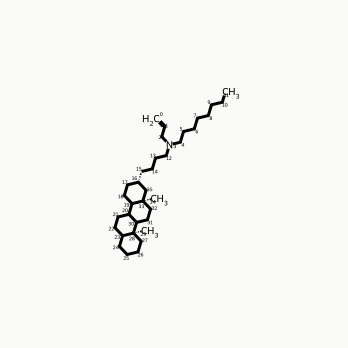 C=CCN(CCCCCCCC)CCCC[C@H]1CCC2C3CCC4CCCC[C@]4(C)C3CC[C@]2(C)C1